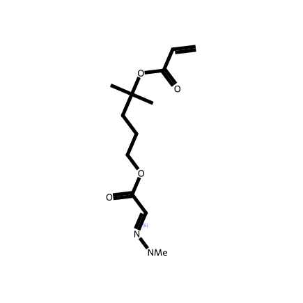 C=CC(=O)OC(C)(C)CCCOC(=O)/C=N/NC